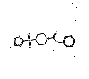 O=C(Oc1ccccc1)N1CCC(S(=O)(=O)c2cccs2)CC1